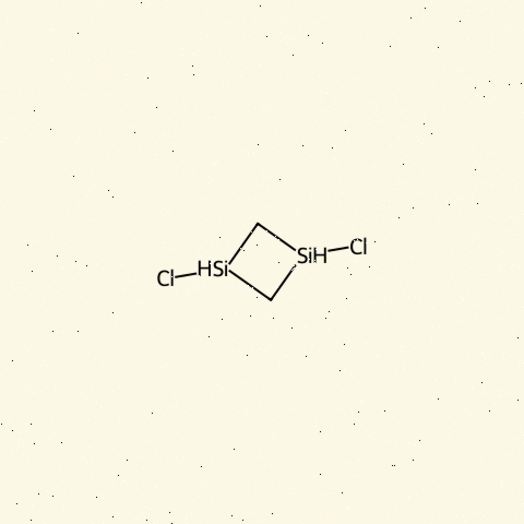 Cl[SiH]1C[SiH](Cl)C1